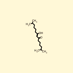 CC(C)CCCCC(=O)/C=C(\O)CCCCC(C)C